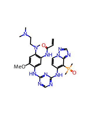 C=CC(=O)Nc1cc(Nc2ncnc(Nc3ccn4ncnc4c3P(C)(C)=O)n2)c(OC)cc1N(C)CCN(C)C